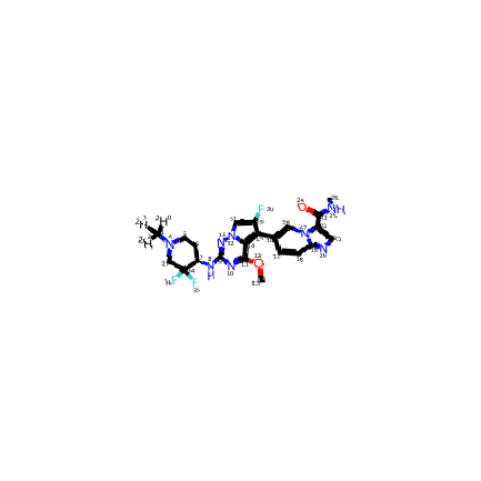 [2H]C([2H])([2H])N1CC[C@@H](Nc2nc(OC)c3c(-c4ccc5ncc(C(=O)NC)n5c4)c(F)cn3n2)C(F)(F)C1